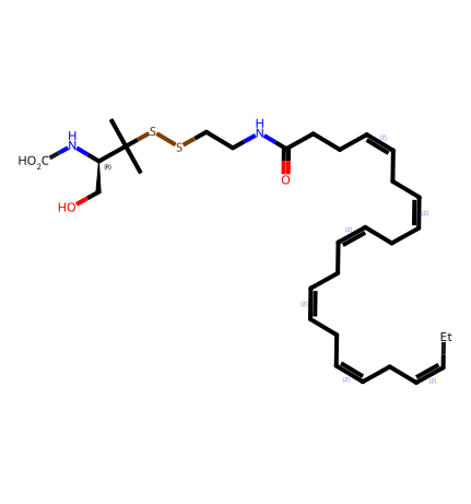 CC/C=C\C/C=C\C/C=C\C/C=C\C/C=C\C/C=C\CCC(=O)NCCSSC(C)(C)[C@@H](CO)NC(=O)O